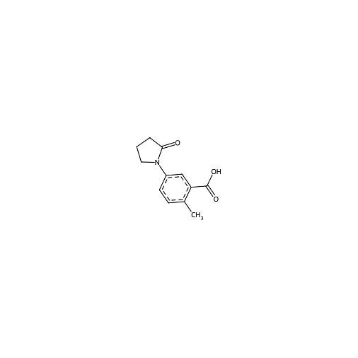 Cc1ccc(N2CCCC2=O)cc1C(=O)O